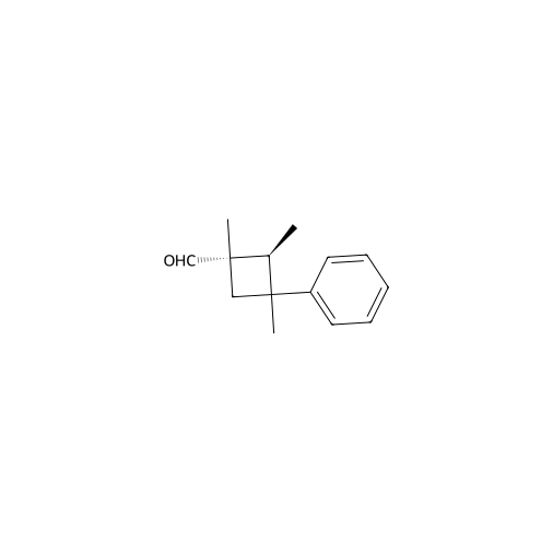 C[C@H]1C(C)(c2ccccc2)C[C@]1(C)C=O